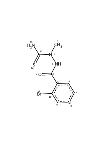 CN(NC(=O)c1ccncc1Br)C(N)=S